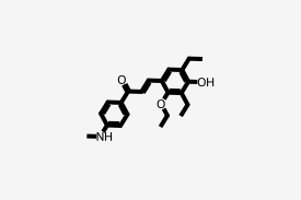 CCOc1c(/C=C/C(=O)c2ccc(NC)cc2)cc(CC)c(O)c1CC